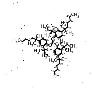 CCCCCC(C)(C)c1ccc(OP(Oc2ccc(C(C)(C)CCCCC)cc2C(C)(C)CC)Oc2ccc(C(C)(C)CCCCC)cc2C(C)(C)CC)c(C(C)(C)CC)c1